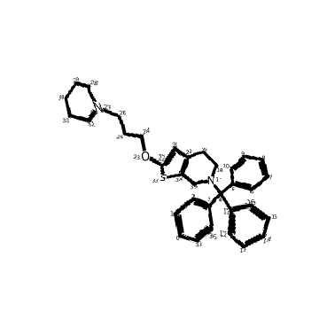 c1ccc(C(c2ccccc2)(c2ccccc2)N2CCc3cc(OCCCN4CCCCC4)sc3C2)cc1